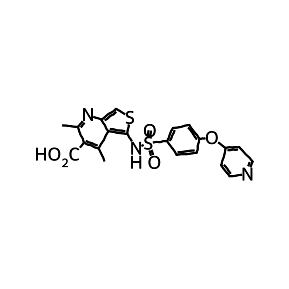 Cc1nc2csc(NS(=O)(=O)c3ccc(Oc4ccncc4)cc3)c2c(C)c1C(=O)O